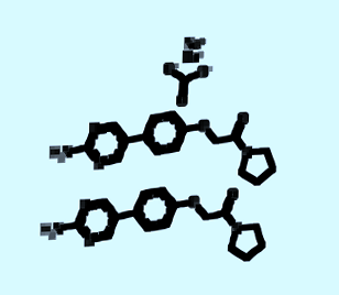 Nc1ncc(-c2ccc(OCC(=O)N3CCCC3)cc2)cn1.Nc1ncc(-c2ccc(OCC(=O)N3CCCC3)cc2)cn1.O=C([O-])[O-].[Na+].[Na+]